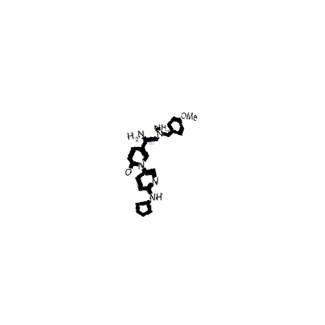 COc1ccc(CN(N)/C=C(\N)c2ccc(=O)n(-c3ccc(NC4CCCC4)nc3)c2)cc1